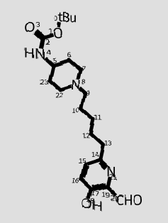 CC(C)(C)OC(=O)NC1CCN(CCCCCc2ccc(O)c(C=O)n2)CC1